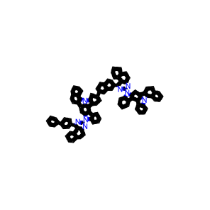 c1ccc(-c2ccc(-c3nc(-n4c5ccccc5c5c6c7ccc(-c8ccc9ccc(-c%10nc(-n%11c%12ccccc%12c%12c%13c%14ccccc%14n%14c%15c%16ccccc%16ccc%15c(cc%12%11)c%13%14)nc%11ccc%12ccccc%12c%10%11)cc9c8)cc7n7c8c9ccccc9ccc8c(cc54)c67)nc4ccc5ccccc5c34)cc2)cc1